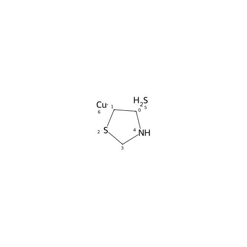 C1CSCN1.S.[Cu]